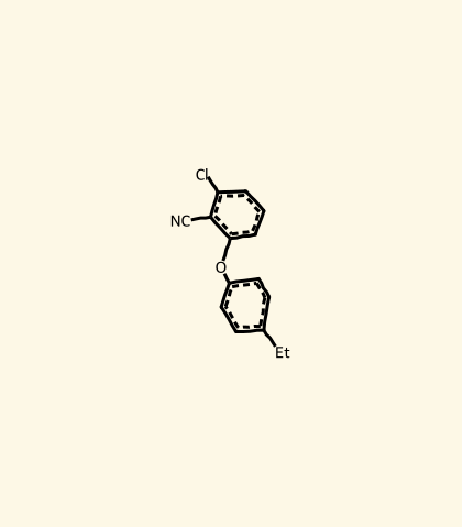 CCc1ccc(Oc2cccc(Cl)c2C#N)cc1